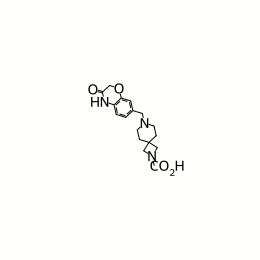 O=C1COc2cc(CN3CCC4(CC3)CN(C(=O)O)C4)ccc2N1